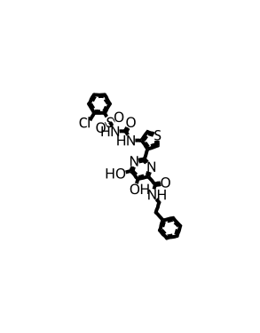 O=C(Nc1cscc1-c1nc(O)c(O)c(C(=O)NCCc2ccccc2)n1)NS(=O)(=O)c1ccccc1Cl